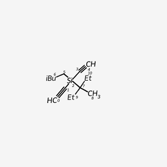 C#C[Si](C#C)(CC(C)CC)C(C)(CC)CC